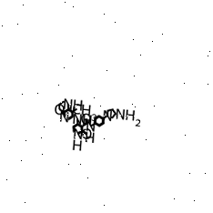 Cc1c(Nc2cc[nH]c(=O)c2C(=O)Nc2ccc(N3CCC(N)C3)cc2)cnc2c1NCCO2